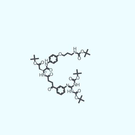 CC(C)(C)OC(=O)C[C@H](NC(=O)CCC(=O)c1cccc(N=C(NC(=O)OC(C)(C)C)NC(=O)OC(C)(C)C)c1)C(=O)Nc1ccc(OCCCNC(=O)OC(C)(C)C)cc1